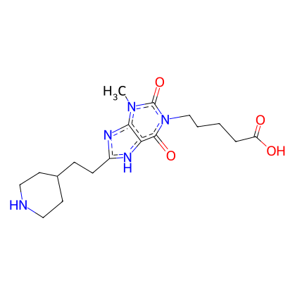 Cn1c(=O)n(CCCCC(=O)O)c(=O)c2[nH]c(CCC3CCNCC3)nc21